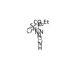 CCOC(=O)c1c(=O)c2cnc(N3CC4CNCC4C3)nc2n2c1sc1ccccc12